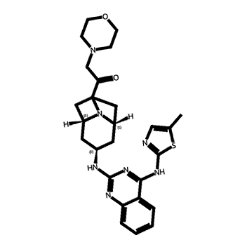 Cc1cnc(Nc2nc(N[C@H]3C[C@@H]4CC5(C(=O)CN6CCOCC6)C[C@H](C3)N45)nc3ccccc23)s1